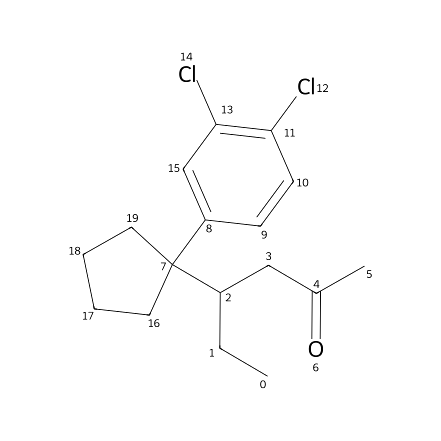 CCC(CC(C)=O)C1(c2ccc(Cl)c(Cl)c2)CCCC1